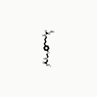 CC(C)(C)OC(=O)NCCCCc1ccc(OCCNCC(N)=O)cc1